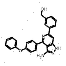 Nc1n[nH]c2cc(-c3cccc(CO)c3)nc(-c3ccc(Oc4ccccc4)cc3)c12